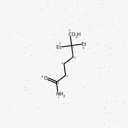 CCC(CC)(CCCC(N)=O)C(=O)O